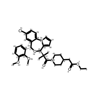 CCOC(=O)CC1CCN(C(=O)C(C)(C)[C@H]2O[C@H](c3cccc(OC)c3OC)c3cc(Cl)ccc3-n3cccc32)CC1